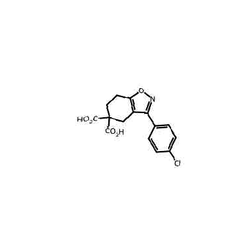 O=C(O)C1(C(=O)O)CCc2onc(-c3ccc(Cl)cc3)c2C1